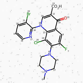 CN1CCN(c2c(F)cc3c(=O)c(C(=O)O)cn(-c4ncccc4Br)c3c2Cl)CC1